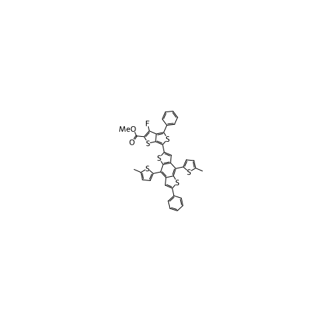 COC(=O)c1sc2c(-c3cc4c(-c5ccc(C)s5)c5sc(-c6ccccc6)cc5c(-c5ccc(C)s5)c4s3)sc(-c3ccccc3)c2c1F